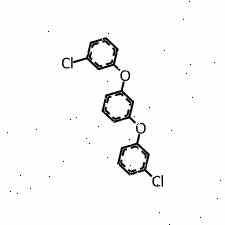 Clc1cccc(Oc2cccc(Oc3cccc(Cl)c3)c2)c1